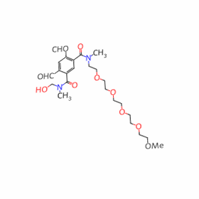 COCCOCCOCCOCCOCCN(C)C(=O)c1cc(C(=O)N(C)CO)c(C=O)cc1C=O